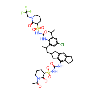 CC(=O)N1CCCC(S(=O)(=O)NC(=O)Nc2c3c(cc4c2CC(CC(C)c2cc(Cl)cc(C(C)C)c2NC(=O)NS(=O)(=O)C2CCCN(CC(F)(F)F)C2=O)C4)CCC3)C1=O